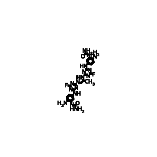 CC(CNc1nc(F)nc(Nc2ccc(N)c(NC(N)=O)c2)n1)Nc1nc(F)nc(Nc2ccc(N)c(NC(N)=O)c2)n1